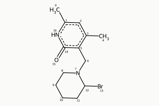 Cc1cc(C)c(CN2CC[CH]CC2Br)c(=O)[nH]1